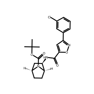 CC(C)(C)OC(=O)N1[C@H]2CC[C@@H]1[C@H](NC(=O)c1cc(-c3cccc(Cl)c3)no1)C2